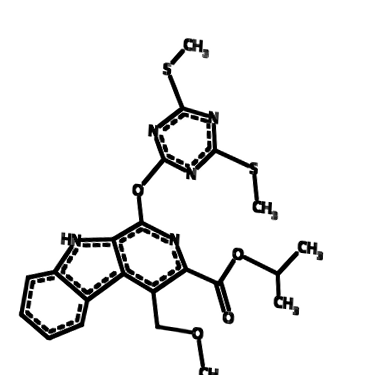 COCc1c(C(=O)OC(C)C)nc(Oc2nc(SC)nc(SC)n2)c2[nH]c3ccccc3c12